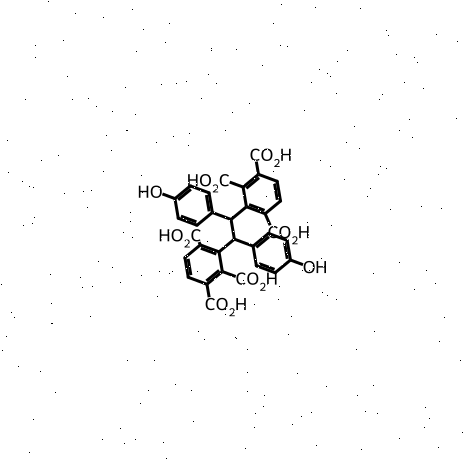 O=C(O)c1ccc(C(=O)O)c(C(c2ccc(O)cc2)C(c2ccc(O)cc2)c2c(C(=O)O)ccc(C(=O)O)c2C(=O)O)c1C(=O)O